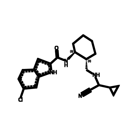 N#CC(NC[C@H]1CCCC[C@@H]1NC(=O)c1cc2ccc(Cl)cc2[nH]1)C1CC1